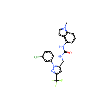 Cn1ccc2c(NC(=O)NCc3cc(C(F)(F)F)nn3-c3cccc(Cl)c3)cccc21